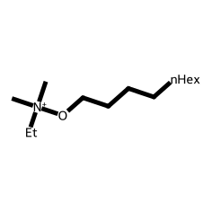 CCCCCCCCCCO[N+](C)(C)CC